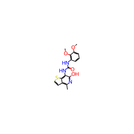 COc1cccc(NC(=O)Nc2c(O)nc(C)c3ccsc23)c1OC